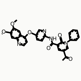 COc1cc2nccc(Oc3ccc(NC(=O)c4cc(C(C)=O)cn(-c5ccccc5)c4=O)nc3)c2cc1OC